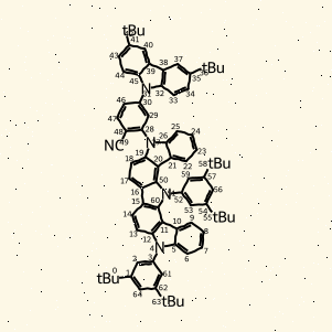 CC(C)(C)c1cc(-n2c3ccccc3c3c2ccc2c4ccc5c(c6ccccc6n5-c5cc(-n6c7ccc(C(C)(C)C)cc7c7cc(C(C)(C)C)ccc76)ccc5C#N)c4n(-c4cc(C(C)(C)C)cc(C(C)(C)C)c4)c23)cc(C(C)(C)C)c1